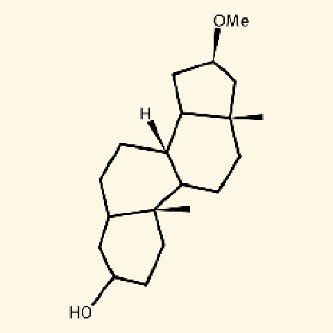 CO[C@@H]1CC2[C@H]3CCC4CC(O)CC[C@@]4(C)C3CC[C@@]2(C)C1